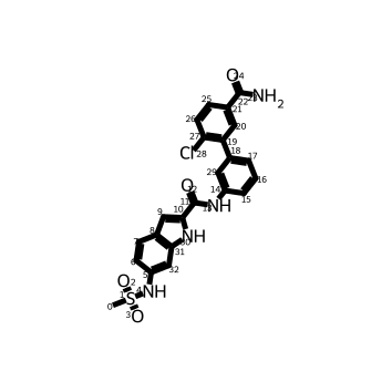 CS(=O)(=O)Nc1ccc2cc(C(=O)Nc3cccc(-c4cc(C(N)=O)ccc4Cl)c3)[nH]c2c1